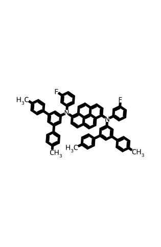 Cc1ccc(-c2cc(-c3ccc(C)cc3)cc(N(c3cccc(F)c3)c3ccc4ccc5c(N(c6cccc(F)c6)c6cc(-c7ccc(C)cc7)cc(-c7ccc(C)cc7)c6)ccc6ccc3c4c65)c2)cc1